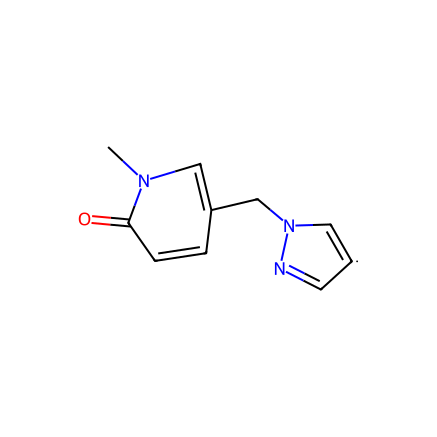 Cn1cc(Cn2c[c]cn2)ccc1=O